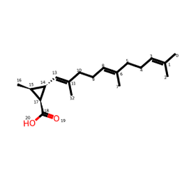 CC(C)=CCC/C(C)=C/CC/C(C)=C/[C@H]1[C@H](C)[C@@H]1C(=O)O